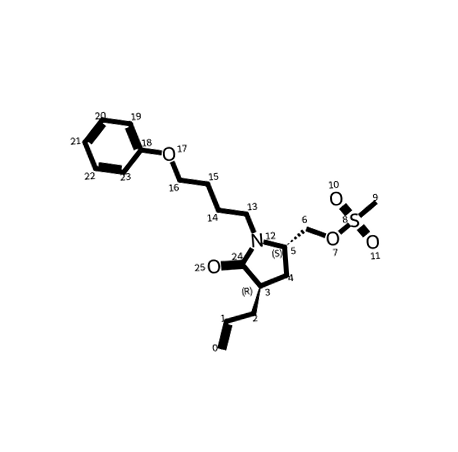 C=CC[C@@H]1C[C@@H](COS(C)(=O)=O)N(CCCCOc2ccccc2)C1=O